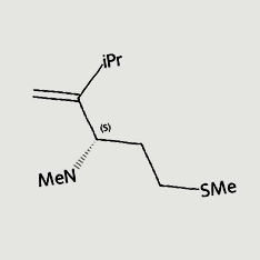 C=C(C(C)C)[C@H](CCSC)NC